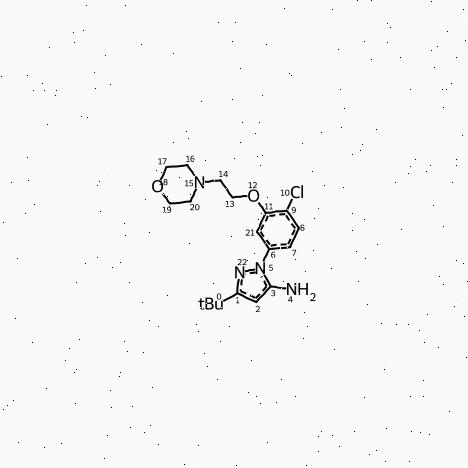 CC(C)(C)c1cc(N)n(-c2ccc(Cl)c(OCCN3CCOCC3)c2)n1